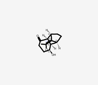 C/C(Cl)=C1/[C@H]2CC[C@@H]1[C@@H]1C(=O)CC[C@H](O)[C@@H]12